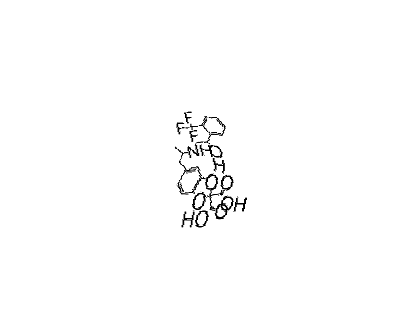 CC(Cc1ccc2c(c1)OC(C(=O)O)(C(=O)O)O2)NCC(O)c1ccccc1C(F)(F)F